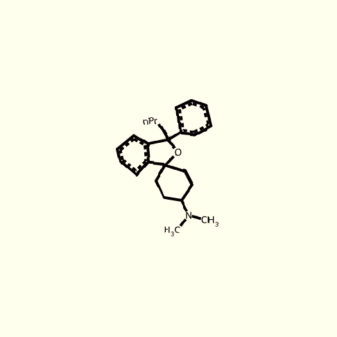 CCCC1(c2ccccc2)OC2(CCC(N(C)C)CC2)c2ccccc21